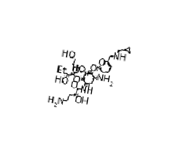 CC[C@@H](O)[C@H](OCCO)O[C@@H]1[C@@H](O)[C@H](O[C@@H]2CCC=C(CNCC3CC3)O2)[C@@H](N)C[C@H]1NC(=O)[C@H](O)CCN